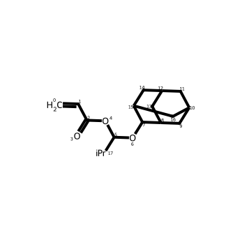 C=CC(=O)OC(OC1C2CC3CC(C2)CC1C3)C(C)C